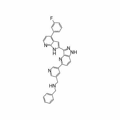 Fc1cccc(-c2ccnc3[nH]c(-c4n[nH]c5ccc(-c6cncc(CNCc7ccccc7)c6)nc45)cc23)c1